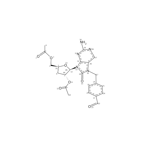 CC(=O)OC[C@@H]1C[C@@H](OC(C)=O)[C@H](n2c(=O)n(Cc3ccc(C=O)cc3)c3cnc(N)nc32)O1